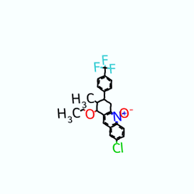 CCOC1c2cc3cc(Cl)ccc3[n+]([O-])c2CC(c2ccc(C(F)(F)F)cc2)C1C